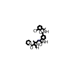 Cc1[nH]c(/C=C2\C(=O)Nc3ccc(C(=O)N[C@H](C)c4cccc(Cl)c4)cc32)c(C)c1C(=O)N1CCCCC1